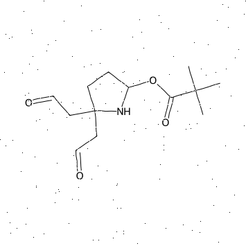 CC(C)(C)C(=O)OC1CCC(CC=O)(CC=O)N1